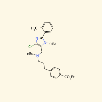 CCCCN(CCCc1ccc(C(=O)OCC)cc1)Cc1c(Cl)nc(-c2ccccc2C)n1CCCC